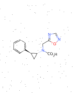 O=C(O)N(Cc1ncno1)[C@@H]1C[C@H]1c1ccccc1